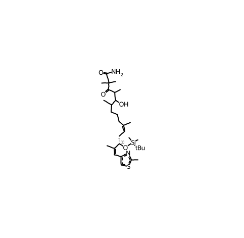 CC(=CC[C@H](O[Si](C)(C)C(C)(C)C)C(C)=Cc1csc(C)n1)CCCC(C)C(O)C(C)C(=O)C(C)(C)C(N)=O